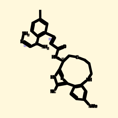 CNc1ccc2c(c1)NCCCCC[C@H](NC(=O)/C=C/c1cc(C)ccc1N(N)/C=N\N)c1nc-2c(C#N)[nH]1